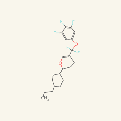 CCCC1CCC(C2CCC(C(F)(F)Oc3cc(F)c(F)c(F)c3)=CO2)CC1